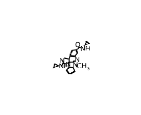 CN(c1ccccc1)c1nc2cc(C(=O)NC3CC3)ccc2c2cnc(NC3CC3)nc12